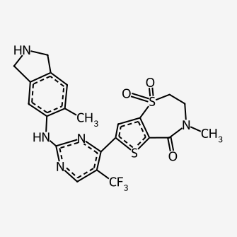 Cc1cc2c(cc1Nc1ncc(C(F)(F)F)c(-c3cc4c(s3)C(=O)N(C)CCS4(=O)=O)n1)CNC2